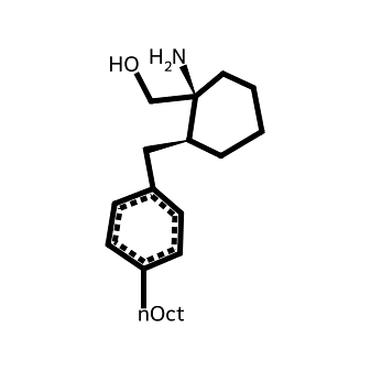 CCCCCCCCc1ccc(C[C@@H]2CCCC[C@@]2(N)CO)cc1